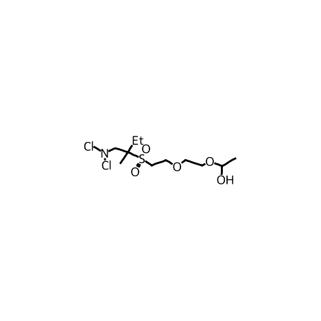 CCC(C)(CN(Cl)Cl)S(=O)(=O)CCOCCOC(C)O